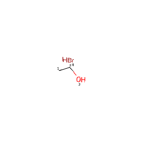 Br.CCO